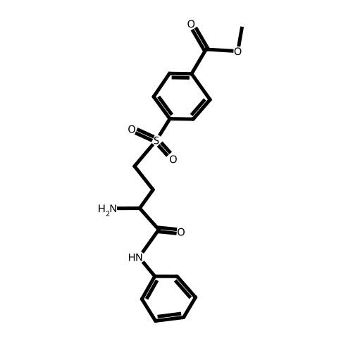 COC(=O)c1ccc(S(=O)(=O)CCC(N)C(=O)Nc2ccccc2)cc1